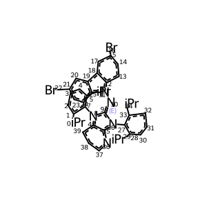 CC(C)c1cccc(C(C)C)c1-n1/c(=N\n2c3ccc(Br)cc3c3cc(Br)ccc32)n(-c2c(C(C)C)cccc2C(C)C)c2ncccc21